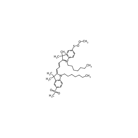 CCCCCCCN1C(=CC=CC2=[N+](CCCCCCC)c3ccc(SOOC)cc3C2(C)C)C(C)(C)c2cc(S(C)(=O)=O)ccc21